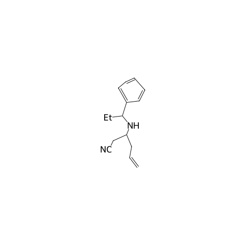 C=CCC(CC#N)NC(CC)c1ccccc1